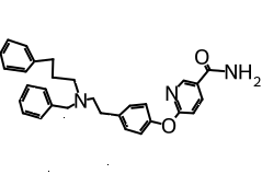 NC(=O)c1ccc(Oc2ccc(CCN(CCCc3ccccc3)Cc3ccccc3)cc2)nc1